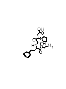 CCOC(=O)[C@H](CCc1ccccc1)N[C@@H](C)C(=O)[C@H](CC(=O)O)N1CCCC1